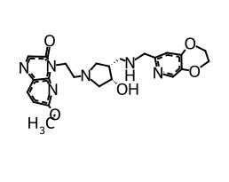 COc1ccc2ncc(=O)n(CCN3C[C@H](CNCc4cc5c(cn4)OCCO5)[C@H](O)C3)c2n1